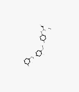 CCOC(Cc1ccc(OCCc2ccc(OCc3cccc(F)c3)cc2)cc1)C(=O)O